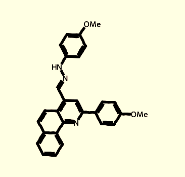 COc1ccc(N/N=C/c2cc(-c3ccc(OC)cc3)nc3c2ccc2ccccc23)cc1